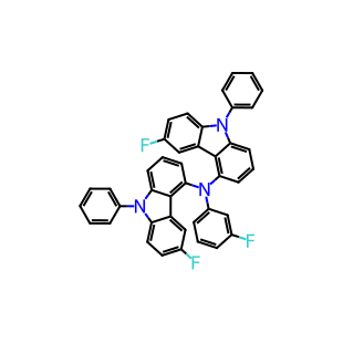 Fc1cccc(N(c2cccc3c2c2cc(F)ccc2n3-c2ccccc2)c2cccc3c2c2cc(F)ccc2n3-c2ccccc2)c1